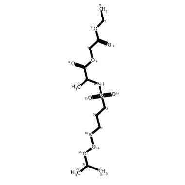 CCOC(=O)COC(=O)C(C)NS(=O)(=O)CCCSOOC(C)C